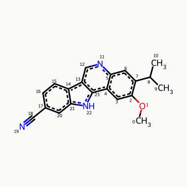 COc1cc2c(cc1C(C)C)ncc1c3ccc(C#N)cc3[nH]c21